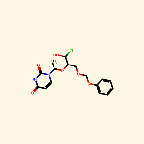 C[C@@H](O[C@H](COCOc1ccccc1)[C@@H](O)Cl)n1ccc(=O)[nH]c1=O